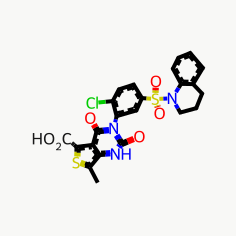 Cc1sc(C(=O)O)c2c(=O)n(-c3cc(S(=O)(=O)N4CCCc5ccccc54)ccc3Cl)c(=O)[nH]c12